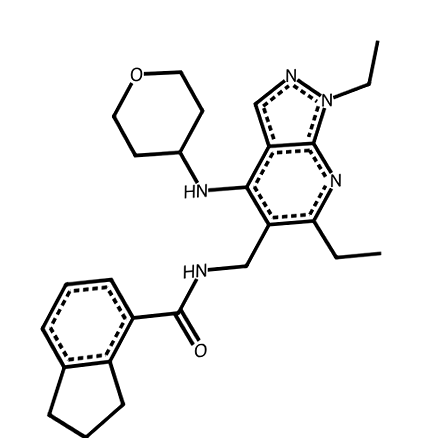 CCc1nc2c(cnn2CC)c(NC2CCOCC2)c1CNC(=O)c1cccc2c1CCC2